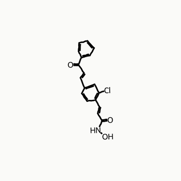 O=C(C=Cc1ccc(C=CC(=O)c2ccccc2)cc1Cl)NO